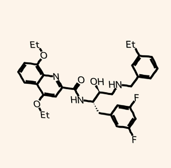 CCOc1cc(C(=O)N[C@@H](Cc2cc(F)cc(F)c2)[C@@H](O)CNCc2cccc(CC)c2)nc2c(OCC)cccc12